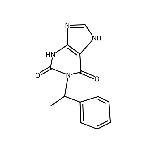 CC(c1ccccc1)n1c(=O)[nH]c2nc[nH]c2c1=O